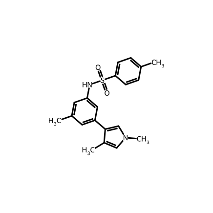 Cc1ccc(S(=O)(=O)Nc2cc(C)cc(-c3cn(C)cc3C)c2)cc1